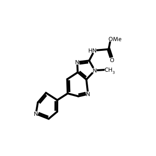 COC(=O)Nc1nc2cc(-c3ccncc3)cnc2n1C